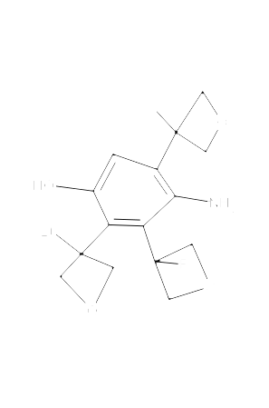 CCC1(c2cc(O)c(C3(CC)COC3)c(C3(CC)COC3)c2N)COC1